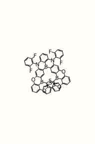 Fc1cccc(F)c1N1c2cc3c(cc2B2c4cc5c(cc4N(c4c(F)cccc4F)c4cccc1c42)Oc1cccc2c1B5c1sc4ccccc4c1O2)B1c2sc4ccccc4c2Oc2cccc(c21)O3